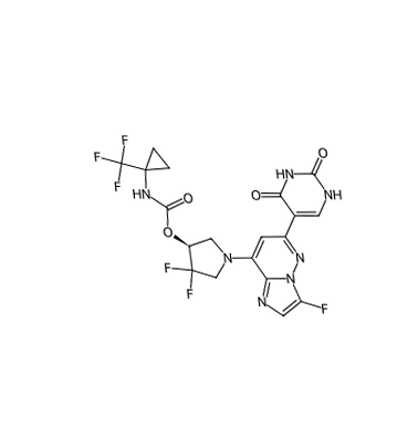 O=C(NC1(C(F)(F)F)CC1)O[C@H]1CN(c2cc(-c3c[nH]c(=O)[nH]c3=O)nn3c(F)cnc23)CC1(F)F